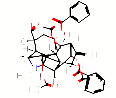 C=C1[C@H]2C(OC(=O)c3ccccc3)[C@@H]3[C@H]4N(C)[C@H]5[C@H](OC(C)=O)[C@]3([C@H]1OC(C)=O)[C@@H]([C@@H]2OC(C)=O)[C@@]41C[C@@H](OC(=O)c2ccccc2)C[C@@](C)(C=O)[C@@H]51